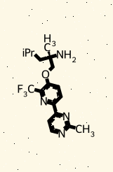 Cc1nccc(-c2ccc(OC[C@@](C)(N)CC(C)C)c(C(F)(F)F)n2)n1